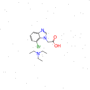 CCN(CC)CC.O=C(O)Cn1cnc2cccc(Br)c21